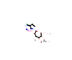 CCCCOC[C@H]1O[C@@H](n2ccc3c(Cl)ncnc32)[C@](C)(O)[C@H](OCCCC)[C@@H](OCCCC)[C@@H]1OCCCC